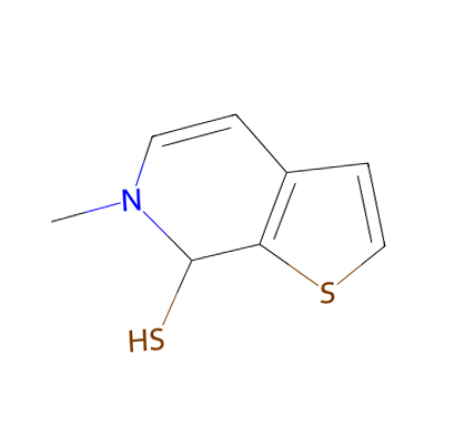 CN1C=Cc2ccsc2C1S